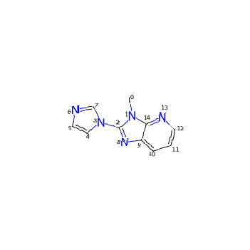 Cn1c(-n2ccnc2)nc2cccnc21